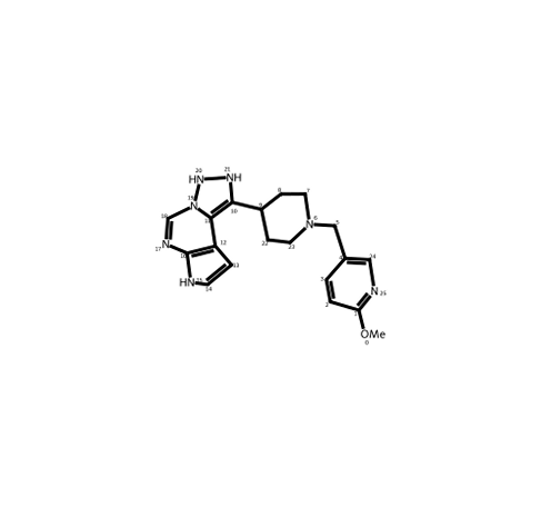 COc1ccc(CN2CCC(C3=C4c5cc[nH]c5N=CN4NN3)CC2)cn1